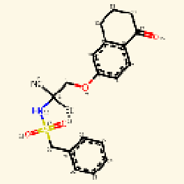 CCC(C#N)(COc1ccc2c(c1)CCCC2=O)NS(=O)(=O)Cc1ccccc1